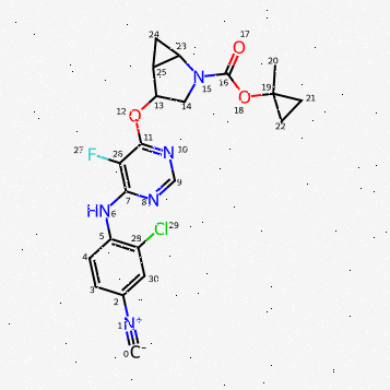 [C-]#[N+]c1ccc(Nc2ncnc(OC3CN(C(=O)OC4(C)CC4)C4CC34)c2F)c(Cl)c1